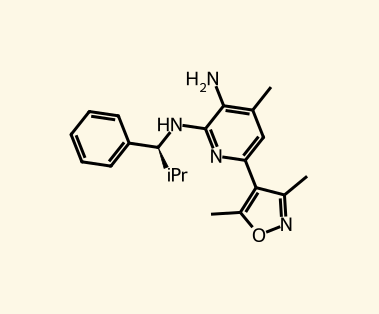 Cc1cc(-c2c(C)noc2C)nc(N[C@H](c2ccccc2)C(C)C)c1N